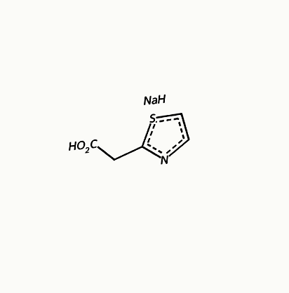 O=C(O)Cc1nccs1.[NaH]